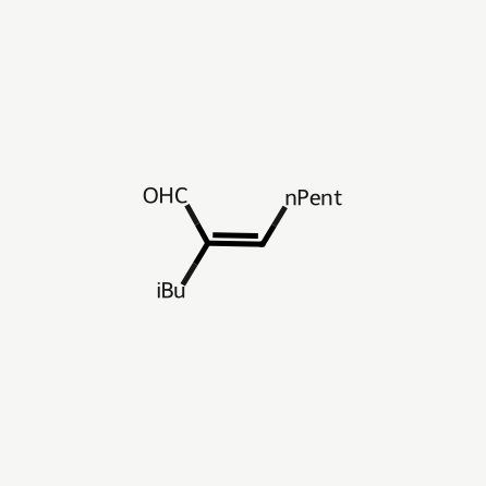 CCCCC/C=C(\C=O)C(C)CC